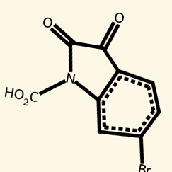 O=C1C(=O)N(C(=O)O)c2cc(Br)ccc21